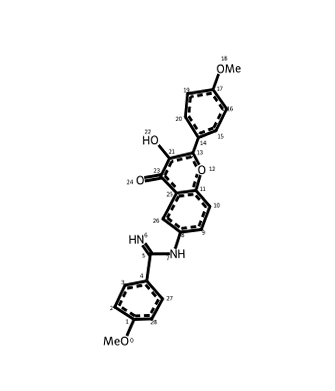 COc1ccc(C(=N)Nc2ccc3oc(-c4ccc(OC)cc4)c(O)c(=O)c3c2)cc1